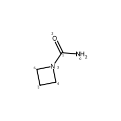 NC(=O)N1C[CH]C1